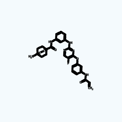 C=CC(=O)Nc1cccc(Oc2nc(Nc3cccc(NC(=O)C45CCC(N)(CC4)CC5)c3)ncc2F)c1